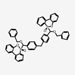 O=P1(C(OCc2ccccc2)c2ccc(Cc3ccc(C(OCc4ccccc4)P4(=O)Oc5ccccc5-c5ccccc54)cc3)cc2)Oc2ccccc2-c2ccccc21